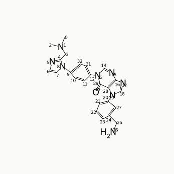 CN(C)Cc1nccn1-c1ccc(-n2cnc3ncn(-c4cccc(CN)c4)c3c2=O)cc1